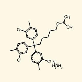 Cc1ccc(C(CCCCCOB(O)O)(c2ccc(C)c(Cl)c2)c2ccc(C)c(Cl)c2)cc1Cl.N.N